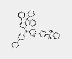 CC(C)(c1ccccc1)c1ccc(-c2ccc(N(c3ccc(-c4ccccc4)cc3)c3ccc4c(c3)C(c3ccccc3)(c3ccccc3)c3ccccc3-4)cn2)cc1